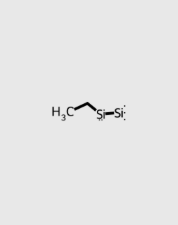 CC[Si][Si]